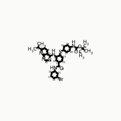 CC(C)c1ccc2c(Nc3cc(C(=O)Nc4cccc(Br)c4)ccc3Sc3ccc(NC(=O)OC(C)(C)C)cc3)ncnc2n1